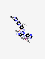 COc1cc(N2CCC(N3CCN(C)CC3)CC2)c(C)cc1Nc1nc(Nc2ccc3nccnc3c2P(C)(C)=O)c2cc[nH]c2n1